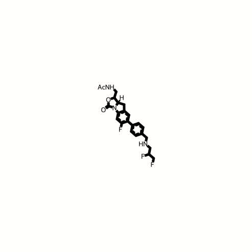 CC(=O)NCC1OC(=O)N2c3cc(F)c(-c4ccc(CNCC(F)CF)cc4)cc3C[C@@H]12